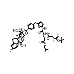 CC(C)COC(=O)CC[C@H](NC(=O)CNC(=O)OC(C)(C)C)C(=O)Nc1ncc(Cc2ccc([C@@H]3O[C@@H]4C[C@H]5[C@@H]6CCC7=CC(=O)C=C[C@]7(C)[C@H]6[C@@H](O)C[C@]5(C)[C@]4(C(=O)CO)O3)cc2)s1